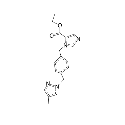 CCOC(=O)c1cncn1Cc1ccc(Cn2cc(C)cn2)cc1